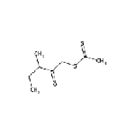 CCC(C)C(=O)CSC(C)=S